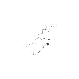 COCOC(=O)C(CCCC(=O)OC)CCC(C)C(=O)OCOCC#N